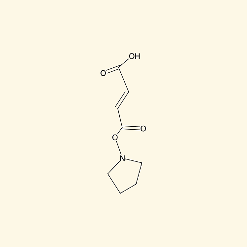 O=C(O)C=CC(=O)ON1CCCC1